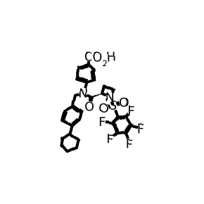 O=C(O)c1ccc(N(Cc2ccc(C3CCCCC3)cc2)C(=O)[C@H]2CCN2S(=O)(=O)c2c(F)c(F)c(F)c(F)c2F)cc1